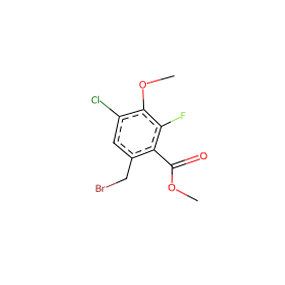 COC(=O)c1c(CBr)cc(Cl)c(OC)c1F